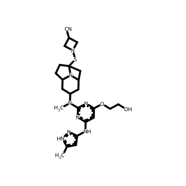 Cc1cc(Nc2cc(OCCO)nc(N(C)C3CC4CCC5(SN6CC(C#N)C6)CC(C3)N45)n2)n[nH]1